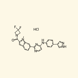 Cl.Cn1c(C(=O)N2CC(F)(F)C2)cc2ccc(-c3nccc(Nc4ccc(-c5cn[nH]c5)cc4)n3)cc21